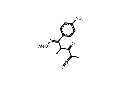 CO/N=C(/c1ccc([N+](=O)[O-])cc1)C(C)C(=O)C(C)=[N+]=[N-]